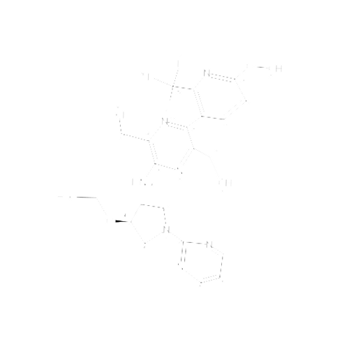 CCO[C@@H]1CN(c2ncccn2)C[C@H]1Nc1nc(CC)c(-c2ccc(OC)nc2C(F)(F)F)nc1CC